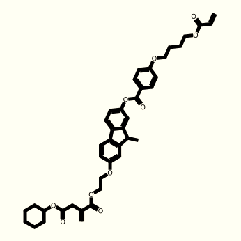 C=CC(=O)OCCCCOc1ccc(C(=O)Oc2ccc3c(c2)C(C)c2cc(OCCOC(=O)C(=C)CC(=O)OC4CCCCC4)ccc2-3)cc1